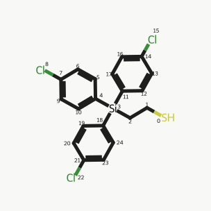 SCC[Si](c1ccc(Cl)cc1)(c1ccc(Cl)cc1)c1ccc(Cl)cc1